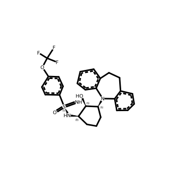 N=[S@@](=O)(N[C@@H]1CCC[C@H](N2c3ccccc3CCc3ccccc32)[C@@H]1O)c1ccc(OC(F)(F)F)cc1